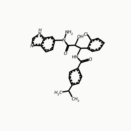 CC(C)c1ccc(C(=O)NC(c2ccccc2Cl)C(O)C(=O)N(N)c2ccc3nc[nH]c3c2)cc1